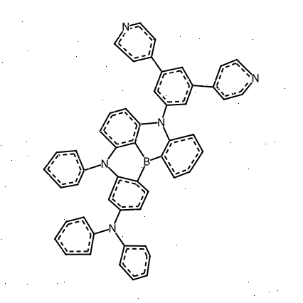 c1ccc(N(c2ccccc2)c2ccc3c(c2)N(c2ccccc2)c2cccc4c2B3c2ccccc2N4c2cc(-c3ccncc3)cc(-c3ccncc3)c2)cc1